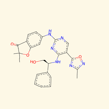 Cc1noc(-c2cnc(Nc3ccc4c(c3)OC(C)(C)C4=O)nc2N[C@H](CO)c2ccccc2)n1